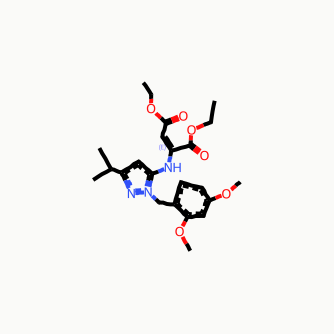 CCOC(=O)/C=C(/Nc1cc(C(C)C)nn1Cc1ccc(OC)cc1OC)C(=O)OCC